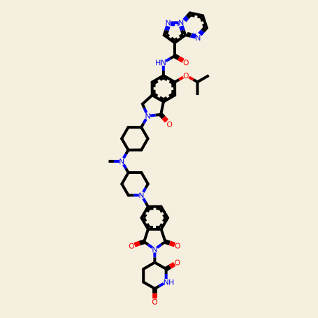 CC(C)Oc1cc2c(cc1NC(=O)c1cnn3cccnc13)CN(C1CCC(N(C)C3CCN(c4ccc5c(c4)C(=O)N(C4CCC(=O)NC4=O)C5=O)CC3)CC1)C2=O